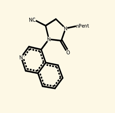 CCCCCN1CC(C#N)N(c2cncc3ccccc23)C1=O